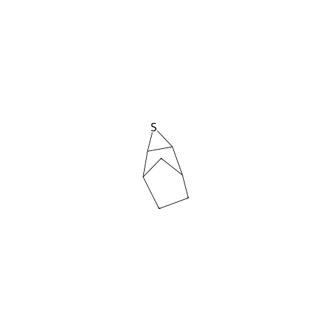 C1CC2CC1C1SC21